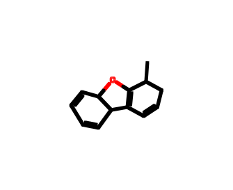 CC1CC=CC2=C1OC1C=CC=CC21